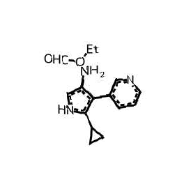 CCOC=O.Nc1c[nH]c(C2CC2)c1-c1cccnc1